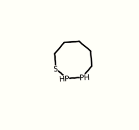 C1CCPPSCC1